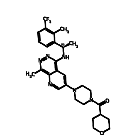 Cc1c([C@@H](C)Nc2nnc(C)c3ncc(N4CCN(C(=O)C5CCOCC5)CC4)cc23)cccc1C(F)(F)F